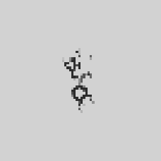 CC(C)N(C[C@H]1COC(N)=N1)c1ccc(Cl)c(Cl)c1